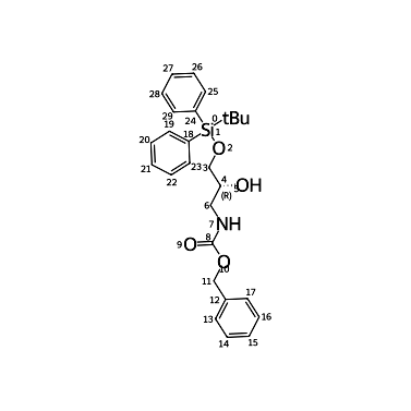 CC(C)(C)[Si](OC[C@H](O)CNC(=O)OCc1ccccc1)(c1ccccc1)c1ccccc1